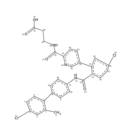 Cc1cc(Cl)ccc1-c1ccc(NC(=O)c2ccc(Cl)cc2-c2ccc(C(=O)NCCC(=O)O)nc2)cc1